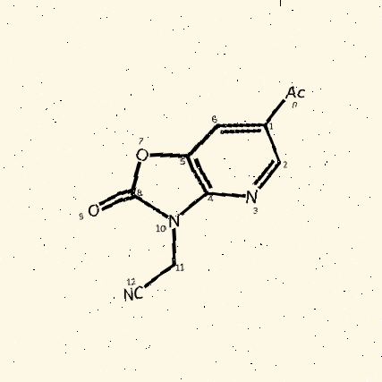 CC(=O)c1cnc2c(c1)oc(=O)n2CC#N